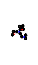 c1ccc(C2(c3ccc(N(c4ccc(-c5cccc(-n6c7ccccc7c7ccccc76)c5)cc4)c4ccc(-c5cccc6c5oc5ccccc56)cc4)cc3)c3ccccc3-c3ccccc32)cc1